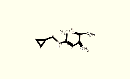 C=C(/C=C(\C)NCC1CC1)C(=O)OC